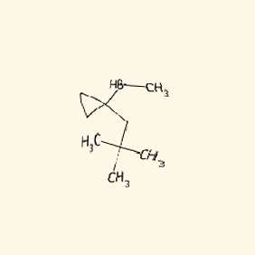 CBC1(CC(C)(C)C)CC1